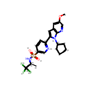 COc1cnc2c(c1)cc(-c1ccc(S(=O)(=O)N[C@@H](C)C(F)(F)F)cn1)n2C1CCCC1